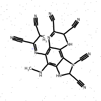 CNc1c(/N=C(/C#N)C(C)C#N)c2c(c3c1NC(C#N)N3C#N)NC(C#N)C(C#N)=N2